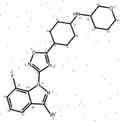 CC(C)c1nn(-c2noc(C3CCC(NC4CCCOC4)CC3)n2)c2c(F)cccc12